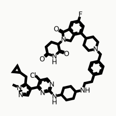 Cn1ncc(-c2nc(NC3CCC(NCCc4ccc(CN5CCC(c6cc(F)cc7c6CN(C6CCC(=O)NC6=O)C7=O)CC5)cc4)CC3)ncc2Cl)c1CC1CC1